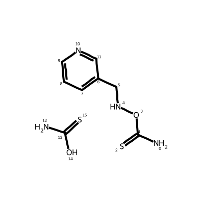 NC(=S)ONCc1cccnc1.NC(O)=S